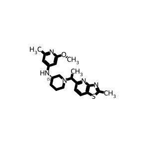 COc1cc(N[C@H]2CCCN(C(C)c3ccc4sc(C)nc4n3)C2)cc(C)n1